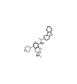 CC(Nc1ncc(C2CCOCC2)n(CC(N)=O)c1=O)c1ccc2oc3ccccc3c2c1